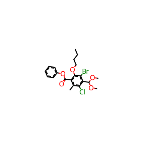 CCCCOc1c(Br)c(C(OC)OC)c(Cl)c(C)c1C(=O)Oc1ccccc1